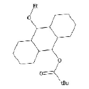 CCOC1C2CCCCC2C(OC(=O)C(C)(C)C)C2CCCCC21